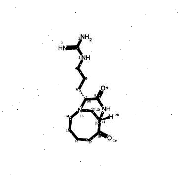 N=C(N)NCCC[C@@H]1C(=O)N[C@H]2CN1CCCCC2=O